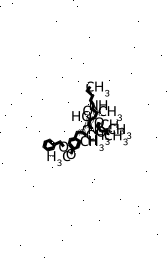 CCCCNC(=O)[C@H](C)C[C@H](O)[C@H](C[C@H](Cc1ccc(OC)c(OCc2ccccc2)c1)C(C)C)NC(=O)OC(C)(C)C